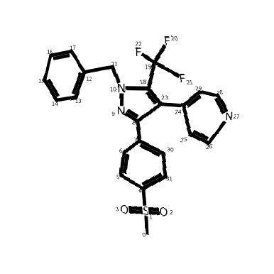 CS(=O)(=O)c1ccc(-c2nn(Cc3ccccc3)c(C(F)(F)F)c2-c2ccncc2)cc1